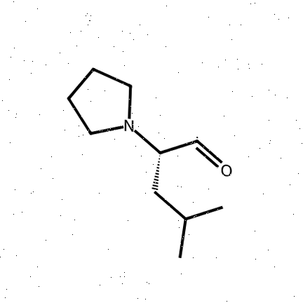 CC(C)C[C@@H]([C]=O)N1CCCC1